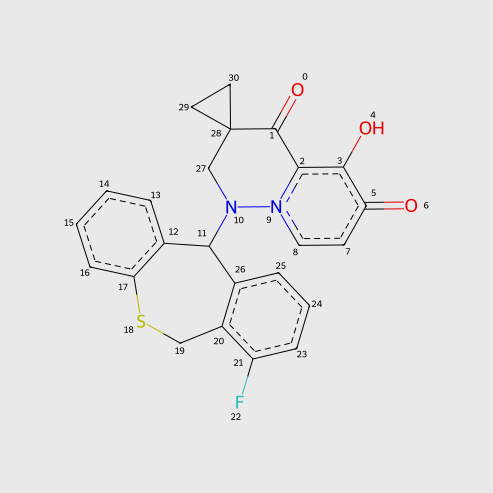 O=C1c2c(O)c(=O)ccn2N(C2c3ccccc3SCc3c(F)cccc32)CC12CC2